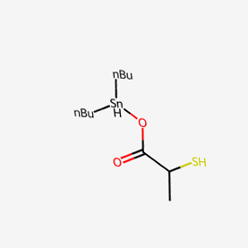 CCC[CH2][SnH]([CH2]CCC)[O]C(=O)C(C)S